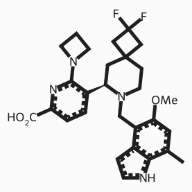 COc1cc(C)c2[nH]ccc2c1CN1CCC2(C[C@@H]1c1ccc(C(=O)O)nc1N1CCC1)CC(F)(F)C2